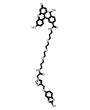 O=C(Cn1cc(COc2ccc3nc(S)sc3c2)nn1)NCCCOCCOCCOCCCNC(=O)c1ccc(C(=O)O)c(-c2c3ccc(=O)cc-3oc3cc(O)ccc23)c1